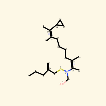 BCN(SCC(=C)CCC)/C(C)=C(/C)CCCC/C(C)=C(/C)C1CC1